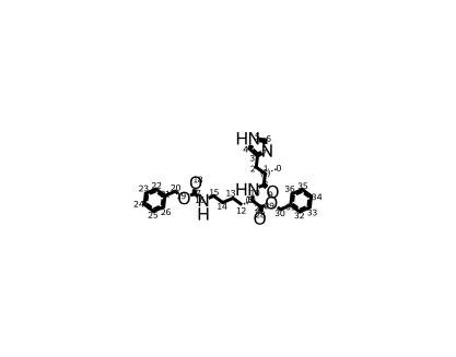 C[C@@H](Cc1c[nH]cn1)C(=O)N[C@@H](CCCCNC(=O)OCc1ccccc1)C(=O)OCc1ccccc1